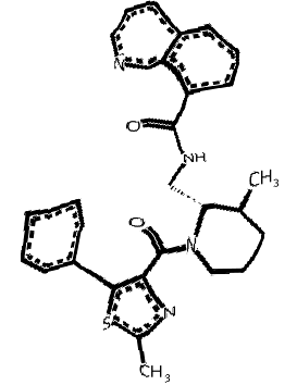 Cc1nc(C(=O)N2CCCC(C)[C@H]2CNC(=O)c2cccc3cccnc23)c(-c2ccccc2)s1